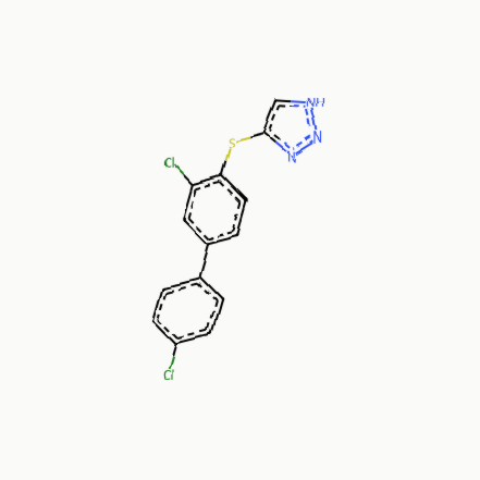 Clc1ccc(-c2ccc(Sc3c[nH]nn3)c(Cl)c2)cc1